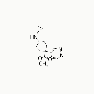 COC(=O)C1(c2ccnnc2)CCC(NC2CC2)CC1